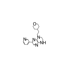 c1cncc(-c2cnc3c(n2)N(CCC2CCOCC2)CCN3)c1